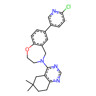 CC1(C)CCc2ncnc(N3CCOc4ccc(-c5c[c]c(Cl)nc5)cc4C3)c2C1